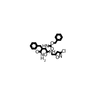 NC(=O)C(Cc1ccccc1)[C@H](NC(=O)OCc1ccccc1)C(=O)NCC1CC(Cl)=NO1